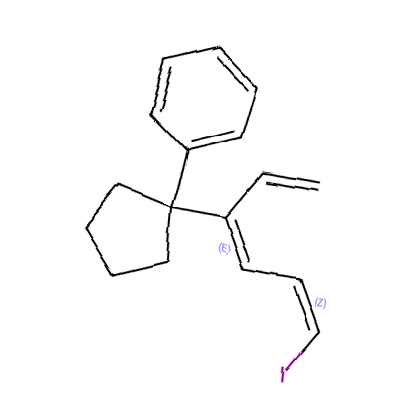 C=C/C(=C\C=C/I)C1(c2ccccc2)CCCC1